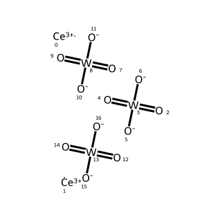 [Ce+3].[Ce+3].[O]=[W](=[O])([O-])[O-].[O]=[W](=[O])([O-])[O-].[O]=[W](=[O])([O-])[O-]